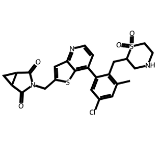 Cc1cc(Cl)cc(-c2ccnc3cc(CN4C(=O)C5CC5C4=O)sc23)c1CC1CNCCS1(=O)=O